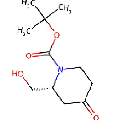 CC(C)(C)OC(=O)N1CCC(=O)C[C@@H]1CO